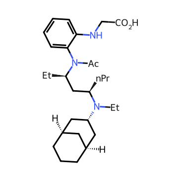 CCC[C@H](C[C@@H](CC)N(C(C)=O)c1ccccc1NCC(=O)O)N(CC)[C@H]1C[C@@H]2CCC[C@@H](C2)C1